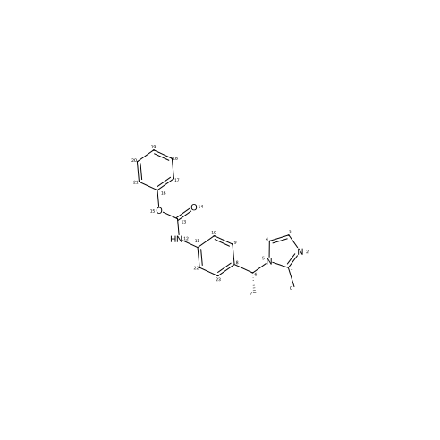 Cc1nccn1[C@H](C)c1ccc(NC(=O)Oc2ccccc2)cc1